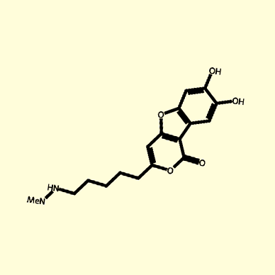 CNNCCCCCc1cc2oc3cc(O)c(O)cc3c2c(=O)o1